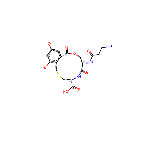 NCCC(=O)N[C@H]1COC(=O)c2cc(O)cc(O)c2CSC[C@@H](C(=O)O)NC1=O